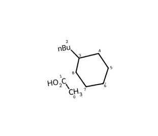 CC(=O)O.CCCCC1CC[CH]CC1